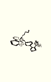 CCCCCc1cn(-c2c(Cl)cccc2Cl)c(=O)n1Cc1ccc(-c2ccccc2-c2nnn[nH]2)cc1